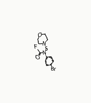 O=C(F)N(SN1CCOCC1)c1ccc(Br)cc1